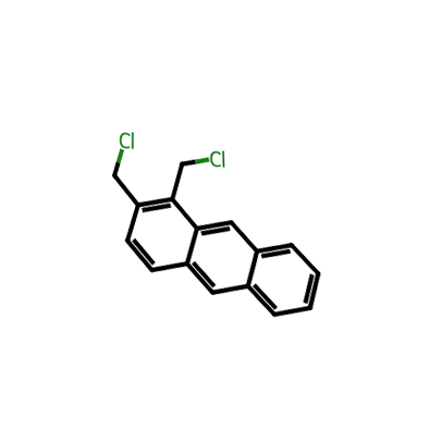 ClCc1ccc2cc3ccccc3cc2c1CCl